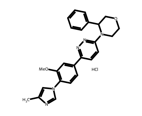 COc1cc(-c2ccc(N3CCOCC3c3ccccc3)nn2)ccc1-n1cnc(C)c1.Cl